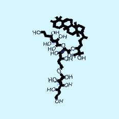 CC(CCC(OC(O)/C(OC(O)/C(O)=C(\O)C(O)CCO)=C(/O)C(O)CCOC(O)/C(O)=C(\O)C(O)CCO)C(C)(C)O)C1CCC2(C)C3CC=C4C(CCC(C)C4(C)C)C3(C)CCC12C